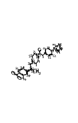 C[C@H](CN1CCN(C(=O)Cc2ccc(-n3cnnn3)cc2)CC1)c1ccc2c(c1)COC2=O